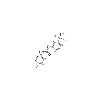 Cc1ccc(NC(=O)Oc2cccc(C(F)(F)F)c2)cc1